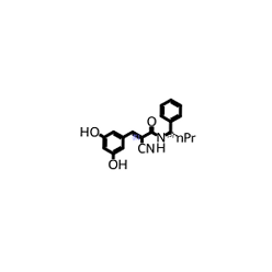 CCC[C@H](NC(=O)/C(C#N)=C/c1cc(O)cc(O)c1)c1ccccc1